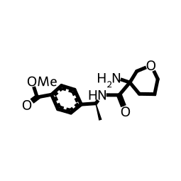 COC(=O)c1ccc([C@H](C)NC(=O)C2(N)CCCOC2)cc1